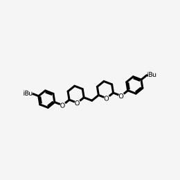 CCC(C)c1ccc(OC2CCCC(CC3CCCC(Oc4ccc(C(C)CC)cc4)O3)O2)cc1